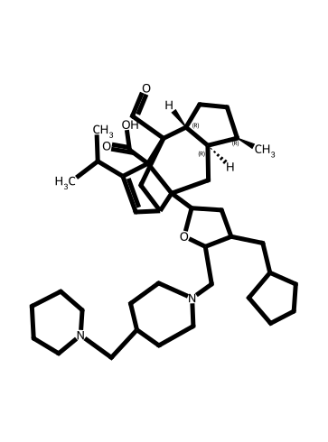 CC(C)C1=CC2CC3(C=O)[C@@H]4CC[C@@H](C)[C@H]4CC2(C2CC(CC4CCCC4)C(CN4CCC(CN5CCCCC5)CC4)O2)C13C(=O)O